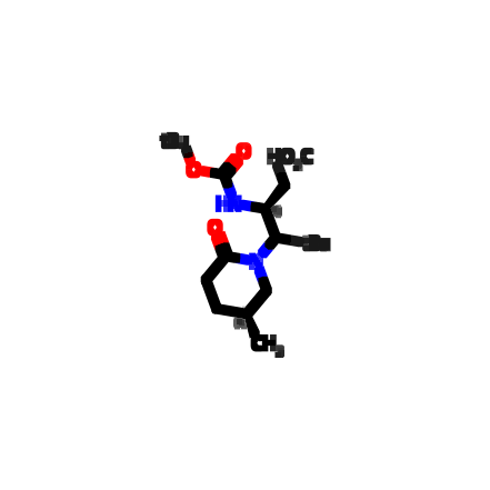 C[C@H]1CCC(=O)N(C([C@H](CC(=O)O)NC(=O)OC(C)(C)C)C(C)(C)C)C1